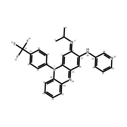 CC(C)/N=c1\cc2n(-c3ccc(C(F)(F)F)cc3)c3ccccc3nc-2cc1Nc1cccnc1